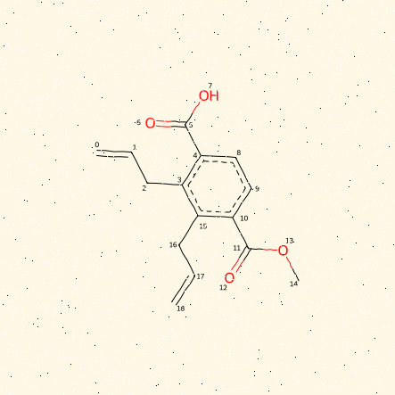 C=CCc1c(C(=O)O)ccc(C(=O)OC)c1CC=C